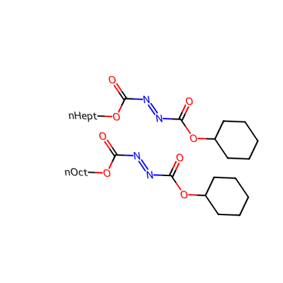 CCCCCCCCOC(=O)N=NC(=O)OC1CCCCC1.CCCCCCCOC(=O)N=NC(=O)OC1CCCCC1